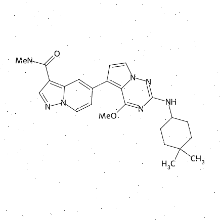 CNC(=O)c1cnn2ccc(-c3ccn4nc(NC5CCC(C)(C)CC5)nc(OC)c34)cc12